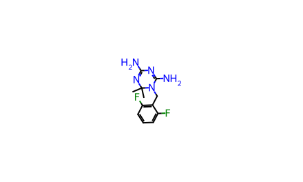 CC1(C)N=C(N)N=C(N)N1Cc1c(F)cccc1F